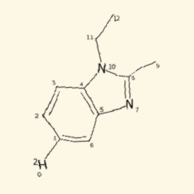 [2H]c1ccc2c(c1)nc(C)n2CC